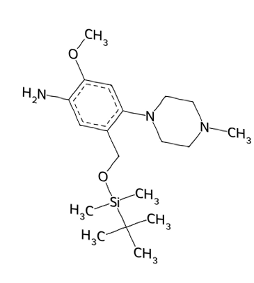 COc1cc(N2CCN(C)CC2)c(CO[Si](C)(C)C(C)(C)C)cc1N